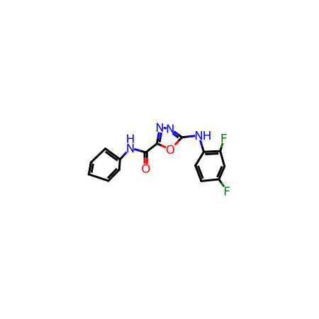 O=C(Nc1ccccc1)c1nnc(Nc2ccc(F)cc2F)o1